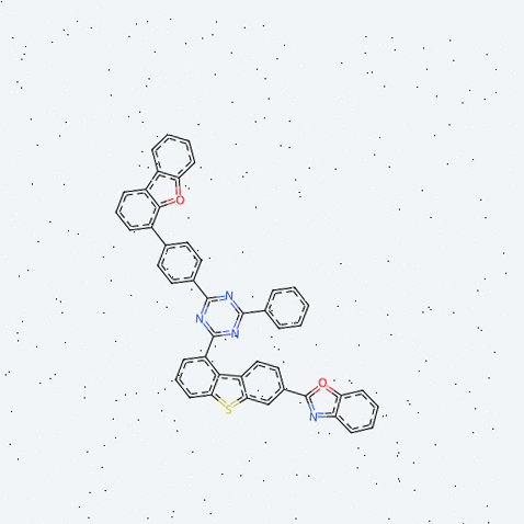 c1ccc(-c2nc(-c3ccc(-c4cccc5c4oc4ccccc45)cc3)nc(-c3cccc4sc5cc(-c6nc7ccccc7o6)ccc5c34)n2)cc1